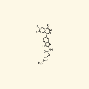 CN1CC(OC(=O)Nc2nc3cc(-c4n[nH]c(=O)c5cc(F)c(F)cc45)ccc3[nH]2)C1